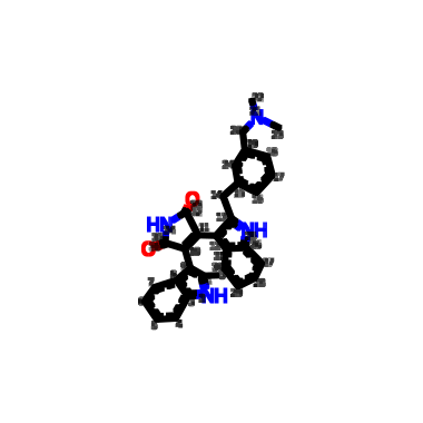 Cc1[nH]c2ccccc2c1C1=C(c2c(Cc3cccc(CN(C)C)c3)[nH]c3ccccc23)C(=O)NC1=O